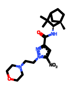 CC1(C)C2CC[C@@](C)(C2)[C@@H]1NC(=O)c1cc([N+](=O)[O-])n(CCN2CCOCC2)n1